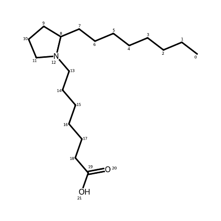 CCCCCCCCC1CCCN1CCCCCCC(=O)O